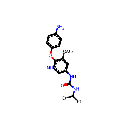 CCC(CC)NC(=O)Nc1ccc(Oc2ccc(N)cc2)c(OC)c1.N